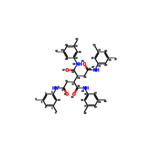 Cc1cc(C)cc(NC(=O)CC(C(=O)Nc2cc(C)cc(C)c2)C(CC(=O)Nc2cc(C)cc(C)c2)C(=O)Nc2cc(C)cc(C)c2)c1